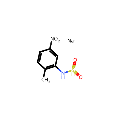 Cc1ccc([N+](=O)[O-])cc1N[SH](=O)=O.[Na]